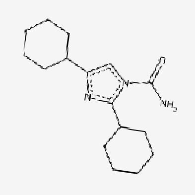 NC(=O)n1cc(C2CCCCC2)nc1C1CCCCC1